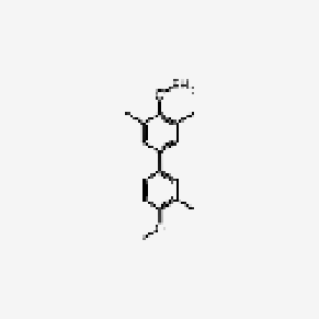 BOc1c(C)cc(-c2ccc(OC)c(C)c2)cc1F